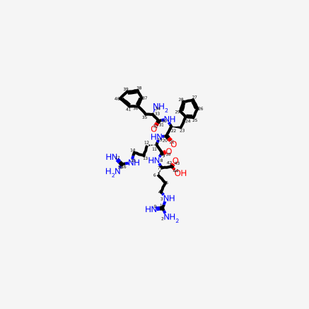 N=C(N)NCCC[C@H](NC(=O)[C@H](CCCNC(=N)N)NC(=O)[C@H](Cc1ccccc1)NC(=O)[C@@H](N)Cc1ccccc1)C(=O)O